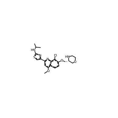 COc1cc(-c2csc(NC(C)C)n2)nc2c(Cl)c(OC[C@H]3COCCN3)ccc12